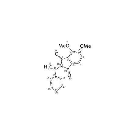 COc1ccc2c(c1OC)C(=O)N(C(C)c1ccccc1)C2=O